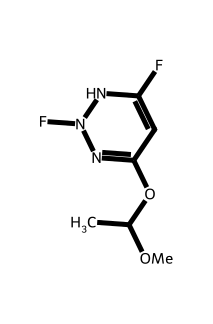 COC(C)OC1=NN(F)NC(F)=C1